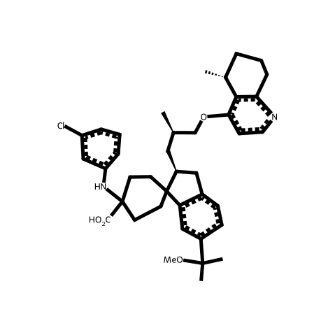 COC(C)(C)c1ccc2c(c1)C1(CCC(Nc3cccc(Cl)c3)(C(=O)O)CC1)[C@@H](C[C@@H](C)COc1ccnc3c1[C@H](C)CCC3)C2